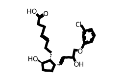 O=C(O)CCC=CCC[C@H]1[C@H](O)CC[C@H]1C=CC(O)COc1cccc(Cl)c1